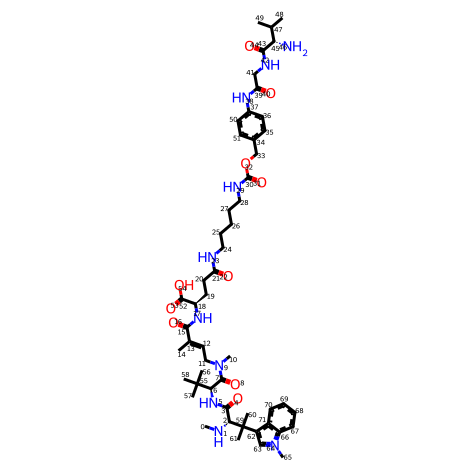 CN[C@H](C(=O)N[C@H](C(=O)N(C)C/C=C(\C)C(=O)N[C@H](CCC(=O)NCCCCCNC(=O)OCc1ccc(NC(=O)CNC(=O)[C@@H](N)C(C)C)cc1)C(=O)O)C(C)(C)C)C(C)(C)c1cn(C)c2ccccc12